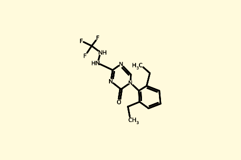 CCc1cccc(CC)c1-n1cnc(NNC(F)(F)F)nc1=O